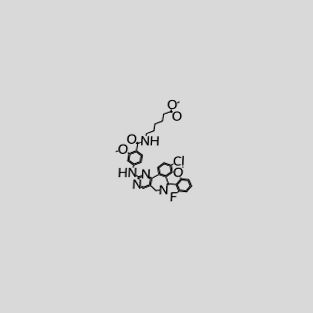 COC(=O)CCCCCNC(=O)c1ccc(Nc2ncc3c(n2)-c2ccc(Cl)cc2C(c2c(F)cccc2OC)=NC3)cc1OC